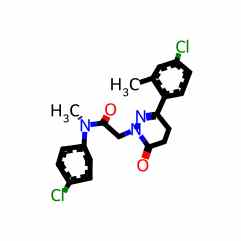 Cc1cc(Cl)ccc1C1=NN(CC(=O)N(C)c2ccc(Cl)cc2)C(=O)CC1